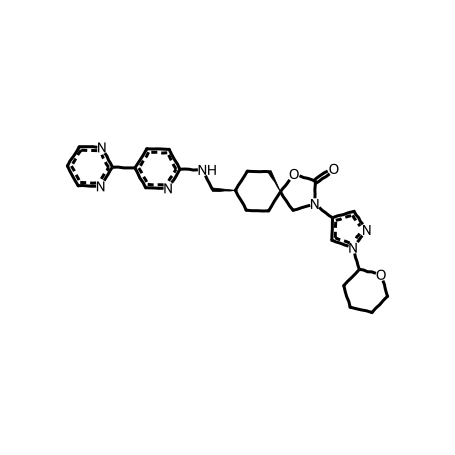 O=C1O[C@]2(CC[C@H](CNc3ccc(-c4ncccn4)cn3)CC2)CN1c1cnn(C2CCCCO2)c1